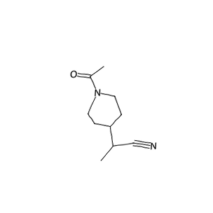 CC(=O)N1CCC(C(C)C#N)CC1